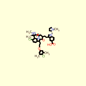 Cc1cc(OCCCc2c3n(c4c(-c5c(C)nn(C)c5C)c(Cl)ccc24)[C@H](C)CC(CCc2cn(C[C@@H]4CCCN4C)c4ccc(C(=O)O)cc24)C3=O)cc(C)c1Cl